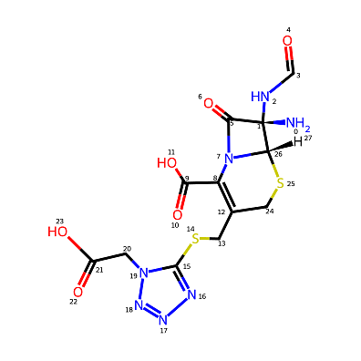 N[C@]1(NC=O)C(=O)N2C(C(=O)O)=C(CSc3nnnn3CC(=O)O)CS[C@H]21